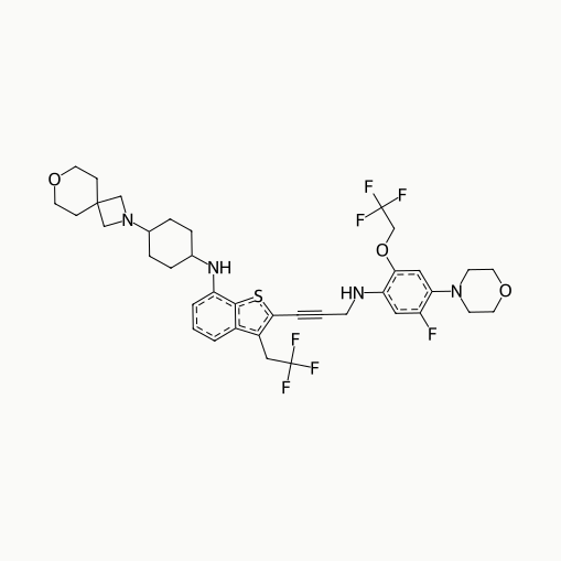 Fc1cc(NCC#Cc2sc3c(NC4CCC(N5CC6(CCOCC6)C5)CC4)cccc3c2CC(F)(F)F)c(OCC(F)(F)F)cc1N1CCOCC1